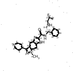 Cn1nc(-c2ccncc2)c2cc3nc(C(=O)N[C@H](CNCC(F)F)c4ccccc4)[nH]c3cc21